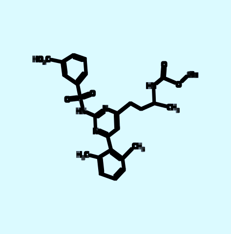 Cc1cccc(C)c1-c1cc(CCC(C)NC(=O)OC(C)(C)C)nc(NS(=O)(=O)c2cccc(C(=O)O)c2)n1